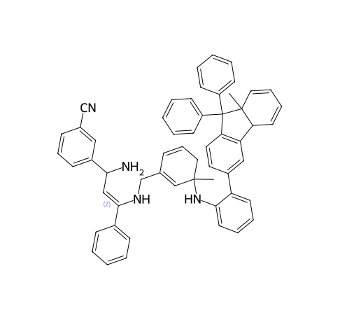 CC1(Nc2ccccc2-c2ccc3c(c2)C2C=CC=CC2(C)C3(c2ccccc2)c2ccccc2)C=C(CN/C(=C\C(N)c2cccc(C#N)c2)c2ccccc2)C=CC1